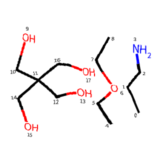 CCCN.CCOCC.OCC(CO)(CO)CO